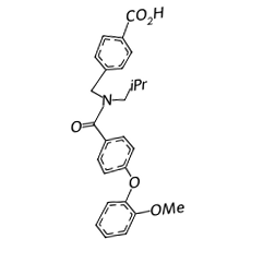 COc1ccccc1Oc1ccc(C(=O)N(Cc2ccc(C(=O)O)cc2)CC(C)C)cc1